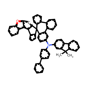 CC1(C)c2ccccc2-c2ccc(N(c3ccc(-c4ccccc4)cc3)c3ccc4c(c3)-c3ccccc3-c3ccccc3C43c4ccccc4-c4c3ccc3oc5ccccc5c43)cc21